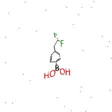 OB(O)c1ccc(CC(F)F)cc1